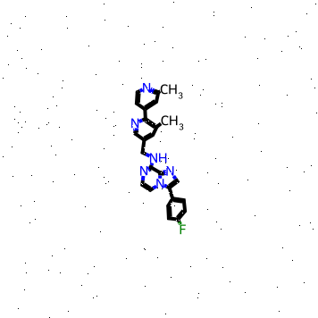 Cc1cc(-c2ncc(CNc3nccn4c(-c5ccc(F)cc5)cnc34)cc2C)ccn1